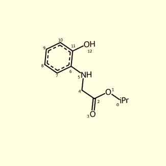 CC(C)OC(=O)CNc1ccccc1O